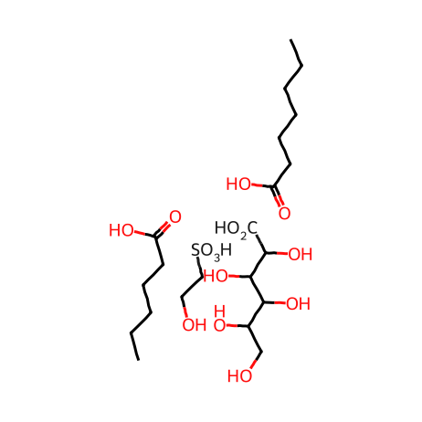 CCCCCC(=O)O.CCCCCCC(=O)O.O=C(O)C(O)C(O)C(O)C(O)CO.O=S(=O)(O)CCO